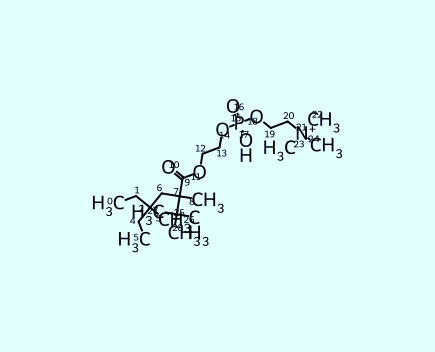 CCC(C)(CC)CC(C)(C(=O)OCCOP(=O)(O)OCC[N+](C)(C)C)C(C)(C)C